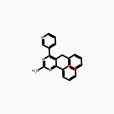 Nc1nc(-c2cccnc2)c(Cc2ccccc2)c(-c2ccccn2)n1